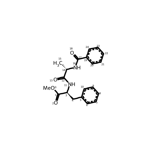 COC(=O)[C@H](Cc1ccccc1)NC(=O)[C@H](C)NC(=O)c1ccccc1